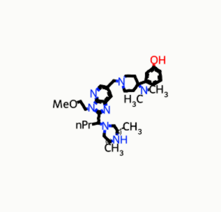 CCCC(c1nc2cc(CN3CCC(c4cccc(O)c4)(N(C)C)CC3)cnc2n1CCOC)N1C[C@@H](C)N[C@@H](C)C1